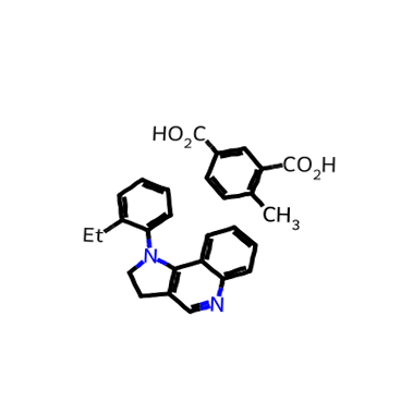 CCc1ccccc1N1CCc2cnc3ccccc3c21.Cc1ccc(C(=O)O)cc1C(=O)O